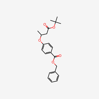 CC(CC(=O)OC(C)(C)C)Oc1ccc(C(=O)OCc2ccccc2)cc1